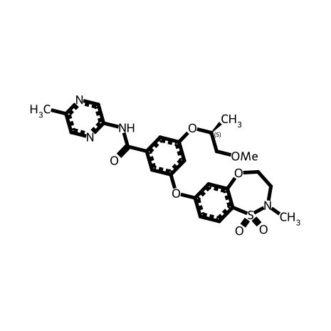 COC[C@H](C)Oc1cc(Oc2ccc3c(c2)OCCN(C)S3(=O)=O)cc(C(=O)Nc2cnc(C)cn2)c1